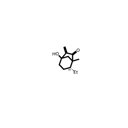 C=C1C(=O)C2(C)CC1(O)CC[C@H]2CC